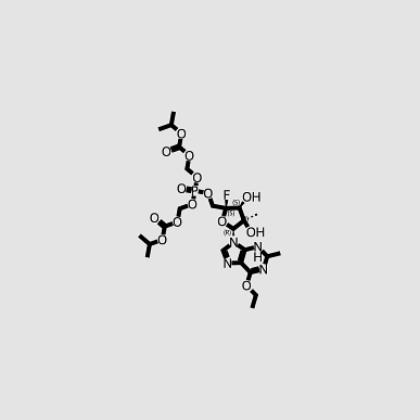 CCOC1=NC(C)Nc2c1ncn2[C@@H]1O[C@](F)(COP(=O)(OCOC(=O)OC(C)C)OCOC(=O)OC(C)C)[C@@H](O)[C@@]1(C)O